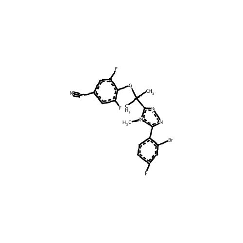 Cn1c(-c2ccc(F)cc2Br)nnc1C(C)(C)Oc1c(F)cc(C#N)cc1F